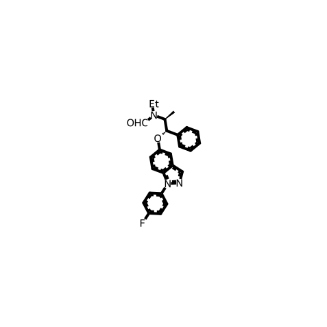 CCN(C=O)[C@@H](C)[C@@H](Oc1ccc2c(cnn2-c2ccc(F)cc2)c1)c1ccccc1